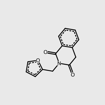 O=C1Cc2ccccc2C(=O)N1Cc1ccco1